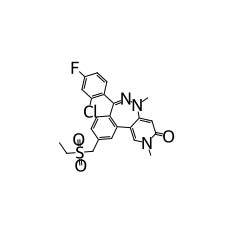 CCS(=O)(=O)Cc1ccc2c(c1)-c1cn(C)c(=O)cc1N(C)N=C2c1ccc(F)cc1Cl